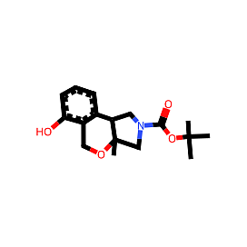 CC(C)(C)OC(=O)N1CC2c3cccc(O)c3COC2(C)C1